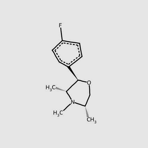 C[C@@H]1[C@@H](c2ccc(F)cc2)OC[C@H](C)N1C